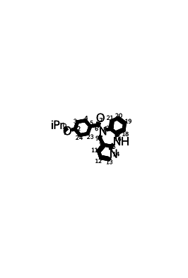 CC(C)OC1CCC(C(=O)N2Cc3cccnc3Nc3ccccc32)CC1